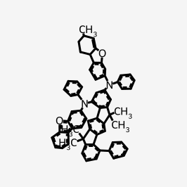 CC1C=C2Oc3cc(N(c4ccccc4)c4cc(N(c5ccccc5)c5ccc6c(c5)oc5ccccc56)c5c(c4)C(C)(C)c4cc6c(cc4-5)C(C)(C)c4cccc(-c5ccccc5)c4-6)ccc3C2CC1